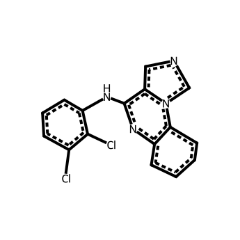 Clc1cccc(Nc2nc3ccccc3n3cncc23)c1Cl